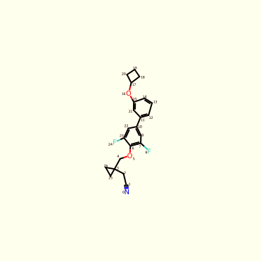 N#CCC1(COc2c(F)cc(-c3cccc(OC4CCC4)c3)cc2F)CC1